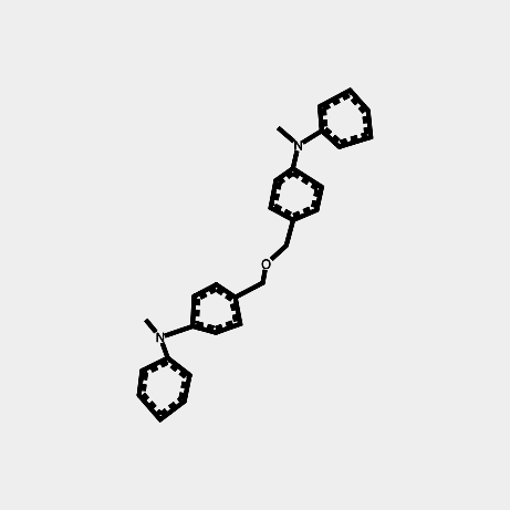 CN(c1ccccc1)c1ccc(COCc2ccc(N(C)c3ccccc3)cc2)cc1